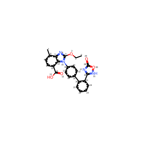 CCOc1nc2c(C)ccc(C(=O)O)c2n1-c1ccc(-c2ccccc2-c2nc(=O)o[nH]2)cc1